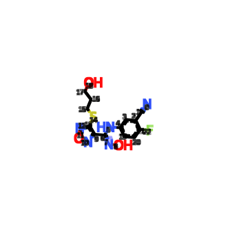 N#Cc1cc(N/C(=N\O)c2nonc2SCCCO)ccc1F